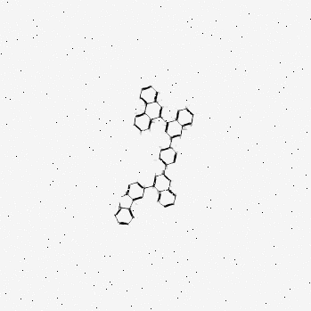 c1ccc2c(-c3ccc4oc5ccccc5c4c3)cc(-c3ccc(-c4cc(-c5cc6ccccc6c6ccccc56)c5ccccc5c4)cc3)cc2c1